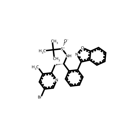 Cc1cc(Br)cnc1C[C@H](N[S@@+]([O-])C(C)(C)C)c1ccccc1-c1noc2ccccc12